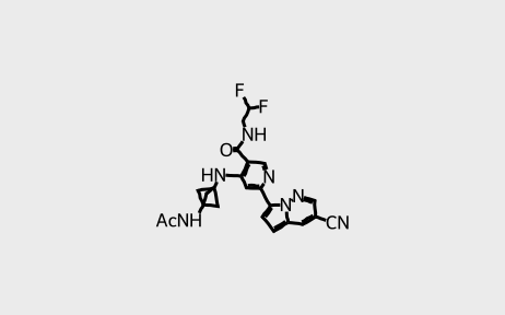 CC(=O)NC12CC(Nc3cc(-c4ccc5cc(C#N)cnn45)ncc3C(=O)NCC(F)F)(C1)C2